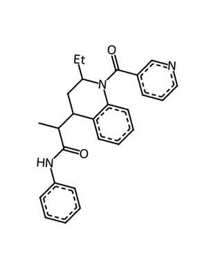 CCC1CC(C(C)C(=O)Nc2ccccc2)c2ccccc2N1C(=O)c1cccnc1